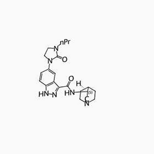 CCCN1CCN(c2ccc3[nH]nc(C(=O)N[C@@H]4CN5CCC4CC5)c3c2)C1=O